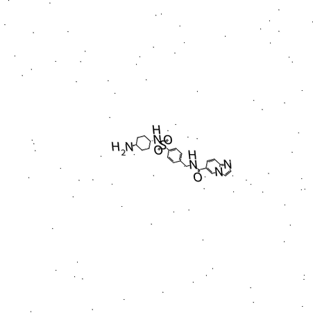 N[C@H]1CC[C@H](NS(=O)(=O)c2ccc(CNC(=O)c3ccc4nccn4c3)cc2)CC1